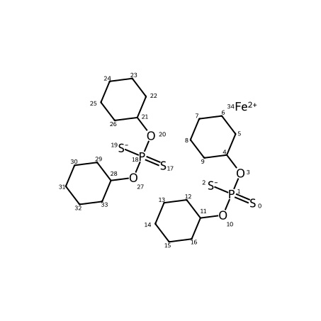 S=P([S-])(OC1CCCCC1)OC1CCCCC1.S=P([S-])(OC1CCCCC1)OC1CCCCC1.[Fe+2]